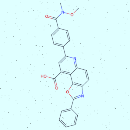 CON(C)C(=O)c1ccc(-c2cc(C(=O)O)c3c(ccc4nc(-c5ccccc5)oc43)n2)cc1